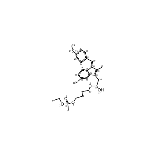 CCOP(C)(=O)OCCCCOC(O)CC1=C(C)/C(=C/c2ccc(SC)cc2)c2ccc(F)cc21